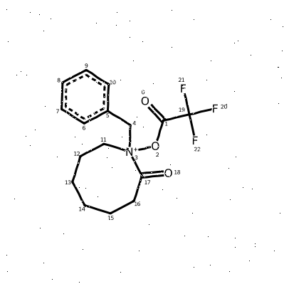 O=C(O[N+]1(Cc2ccccc2)CCCCCCC1=O)C(F)(F)F